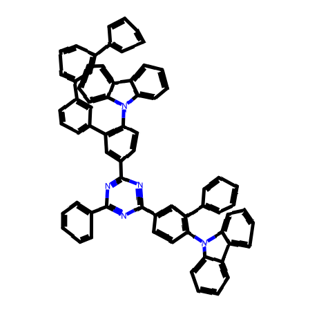 c1ccc(-c2cccc(-c3cccc(-c4cc(-c5nc(-c6ccccc6)nc(-c6ccc(-n7c8ccccc8c8ccccc87)c(-c7ccccc7)c6)n5)ccc4-n4c5ccccc5c5ccccc54)c3)c2)cc1